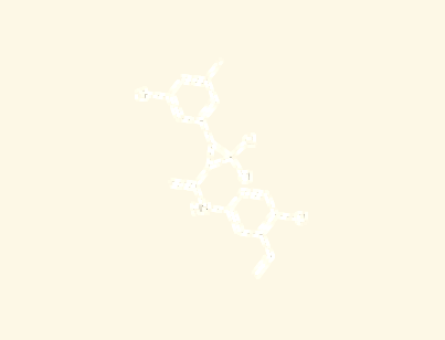 C=Cc1cc(NC(=C)C2C(c3cc(C)cc(Cl)c3)C2(Cl)Cl)ccc1Cl